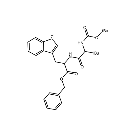 CCC(C)C(NC(=O)OC(C)(C)C)C(=O)NC(Cc1c[nH]c2ccccc12)C(=O)OCc1ccccc1